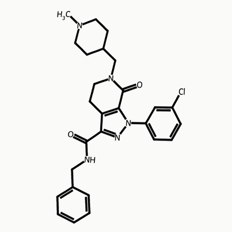 CN1CCC(CN2CCc3c(C(=O)NCc4ccccc4)nn(-c4cccc(Cl)c4)c3C2=O)CC1